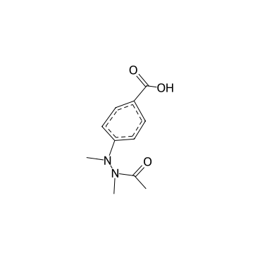 CC(=O)N(C)N(C)c1ccc(C(=O)O)cc1